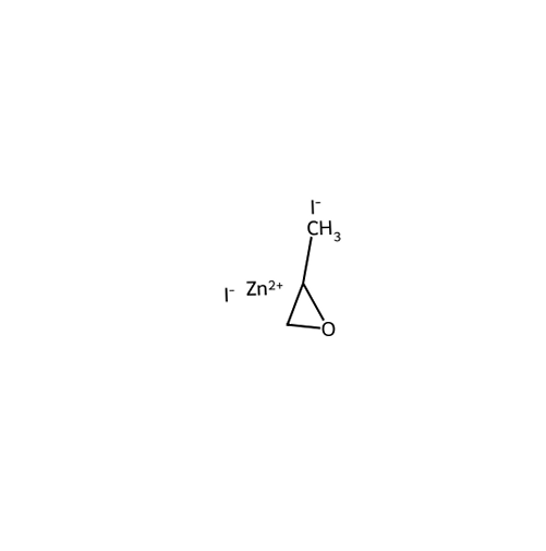 CC1CO1.[I-].[I-].[Zn+2]